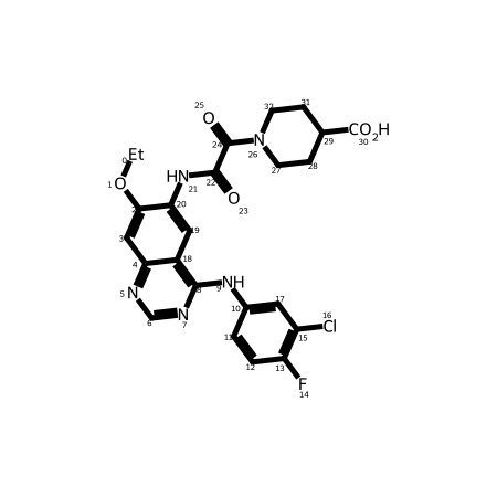 CCOc1cc2ncnc(Nc3ccc(F)c(Cl)c3)c2cc1NC(=O)C(=O)N1CCC(C(=O)O)CC1